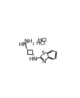 Cl.Cl.NN[C@H]1C[C@H](Nc2nc3ccccc3s2)C1